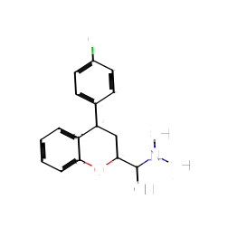 CC(C1CC(c2ccc(Cl)cc2)c2ccccc2O1)N(C)C